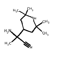 CC1(C)CC(C(C)(N)C#N)CC(C)(C)N1